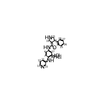 Cl.Cl.O=C(Nc1ccc(Nc2cccnc2)cc1)C1CNCC1c1ccccc1